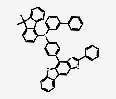 CC1(C)c2ccccc2-c2c(N(c3ccc(-c4c5nc(-c6ccccc6)oc5cc5c4oc4ccccc45)cc3)c3cccc(-c4ccccc4)c3)cccc21